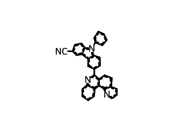 N#Cc1ccc2c(c1)c1cc(-c3nc4ccccc4c4c3ccc3cccnc34)ccc1n2-c1ccccc1